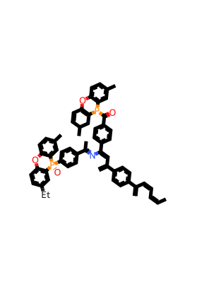 C=C(/C=C\C=C/C)c1ccc(C(=C)/C=C(\N=C(/C)c2ccc(P3(=O)c4cc(C)ccc4Oc4ccc(CC)cc43)cc2)c2ccc(C(=O)P3C4=C(C=CC(C)C4)Oc4ccc(C)cc43)cc2)cc1